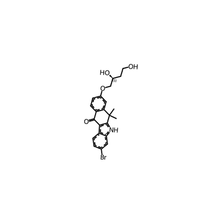 CC1(C)c2cc(OC[C@@H](O)CCO)ccc2C(=O)c2c1[nH]c1cc(Br)ccc21